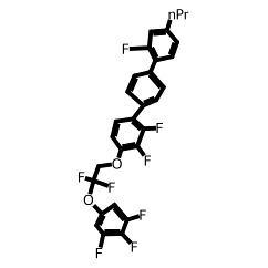 CCCc1ccc(-c2ccc(-c3ccc(OCC(F)(F)Oc4cc(F)c(F)c(F)c4)c(F)c3F)cc2)c(F)c1